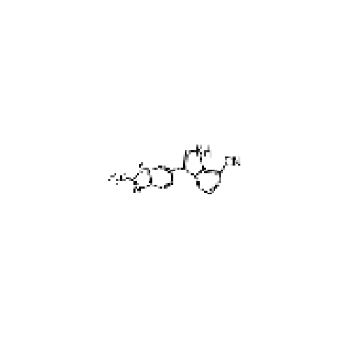 Cc1nc2ccc(-c3c[nH]c4c(C#N)cccc34)cc2s1